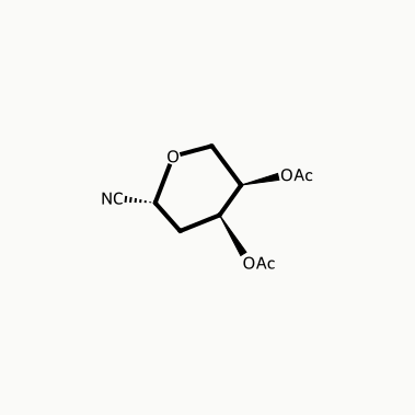 CC(=O)O[C@H]1C[C@H](C#N)OC[C@H]1OC(C)=O